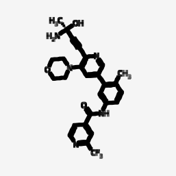 Cc1ccc(NC(=O)c2ccnc(C(F)(F)F)c2)cc1-c1cnc(C#C[C@@](C)(N)O)c(N2CCOCC2)c1